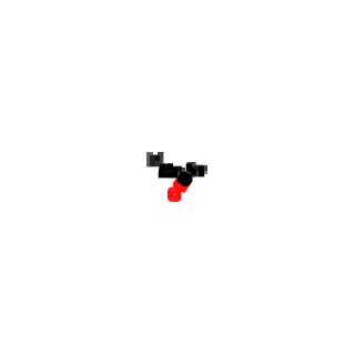 [In].[Mn].[O]=[Sn]